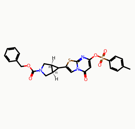 Cc1ccc(S(=O)(=O)Oc2cc(=O)n3cc(C4[C@H]5CN(C(=O)OCc6ccccc6)C[C@@H]45)sc3n2)cc1